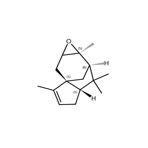 CC1=CC[C@H]2C(C)(C)[C@H]3C[C@@]12CC1O[C@]13C